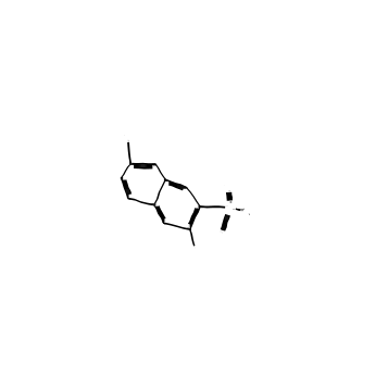 NS(=O)(=O)c1cc2cc(Cl)ccc2cc1O